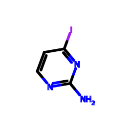 Nc1nccc(I)n1